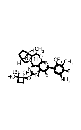 Cc1c(F)c(N)cc(-c2nc3c4c(nc(O[C@@]5(C)CC[C@@]5(O)C(C)(C)C)nc4c2F)N2C[C@H]4CC[C@H](N4)[C@H]2[C@H](C)O3)c1C(F)(F)F